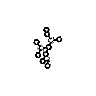 CC1(c2ccccc2)Oc2cc(-c3ccc(-c4nc(-c5ccccc5)nc(-c5ccc6ccccc6c5)n4)cc3-c3nc(-c4ccccc4)nc(-c4ccccc4)n3)ccc2-c2ccccc21